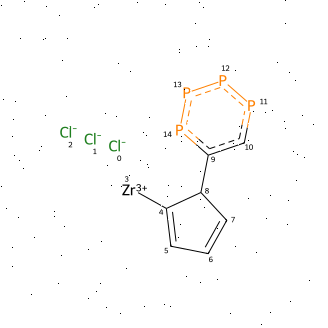 [Cl-].[Cl-].[Cl-].[Zr+3][C]1=CC=CC1c1cpppp1